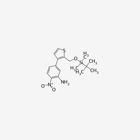 CC(C)(C)[Si](C)(C)OCc1sccc1-c1ccc([N+](=O)[O-])c(N)c1